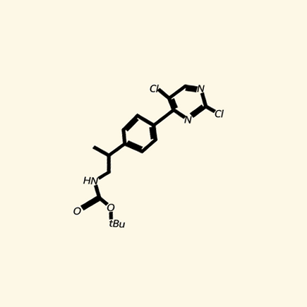 CC(CNC(=O)OC(C)(C)C)c1ccc(-c2nc(Cl)ncc2Cl)cc1